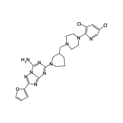 Nc1nc(N2CCCC(CN3CCN(c4ncc(Cl)cc4Cl)CC3)C2)nc2nc(-c3ccco3)nn12